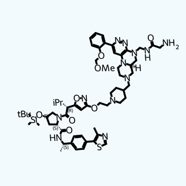 COCOc1ccccc1-c1cc2c(nn1)N(CNC(=O)CN)C[C@H]1CN(CC3CCN(CCOc4cc([C@H](C(=O)N5C[C@H](O[Si](C)(C)C(C)(C)C)C[C@H]5C(=O)N[C@@H](C)c5ccc(-c6scnc6C)cc5)C(C)C)on4)CC3)CCN21